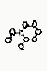 c1ccc(-c2cccc(-c3cccc(-c4cccc(-c5nc(-c6cccc(-c7ccccc7)c6)nc(-c6cccc(-c7ccccc7)c6)n5)c4)c3)c2)cc1